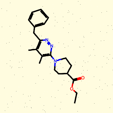 CCOC(=O)C1CCN(c2nnc(Cc3ccccc3)c(C)c2C)CC1